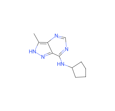 Cc1[nH]nc2c(NC3CCCC3)ncnc12